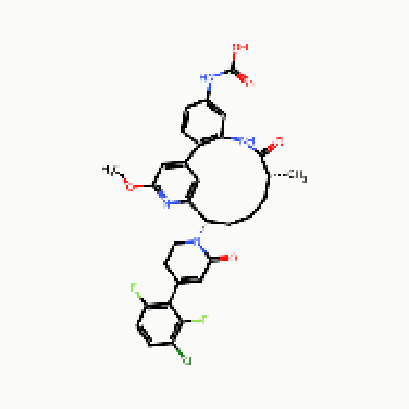 COc1cc2cc(n1)[C@@H](N1CCC(c3c(F)ccc(Cl)c3F)=CC1=O)CCC[C@@H](C)C(=O)Nc1cc(NC(=O)O)ccc1-2